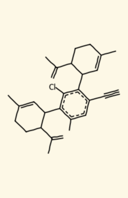 C#Cc1cc(C)c(C2C=C(C)CCC2C(=C)C)c(Cl)c1C1C=C(C)CCC1C(=C)C